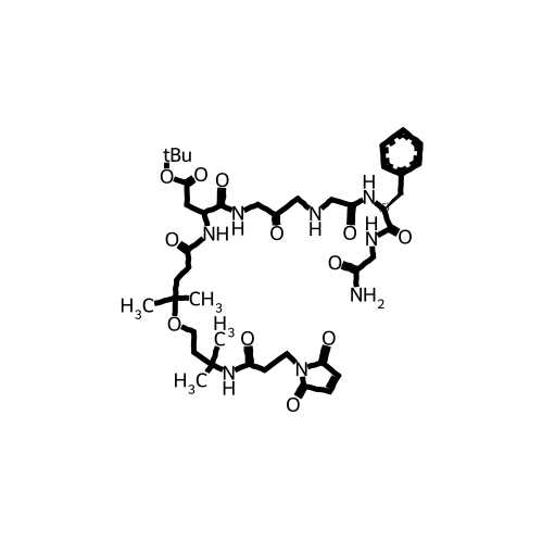 CC(C)(CCOC(C)(C)CCC(=O)NC(CC(=O)OC(C)(C)C)C(=O)NCC(=O)CNCC(=O)N[C@@H](Cc1ccccc1)C(=O)NCC(N)=O)NC(=O)CCN1C(=O)C=CC1=O